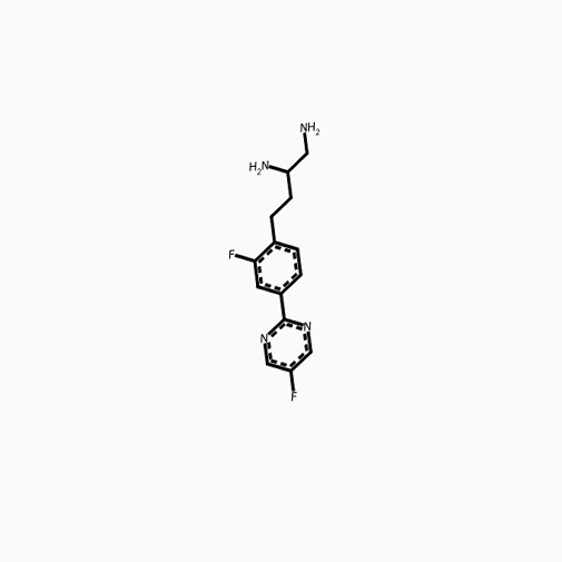 NCC(N)CCc1ccc(-c2ncc(F)cn2)cc1F